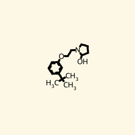 CC(C)(C)c1cccc(OCCN2CCCC2O)c1